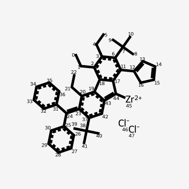 CCc1c(CC)c(C(C)(C)C)c(C2=CC=CC2)c2c1-c1c(CC)c(=C(c3ccccc3)c3ccccc3)c(C(C)(C)C)cc1=[C]2[Zr+2].[Cl-].[Cl-]